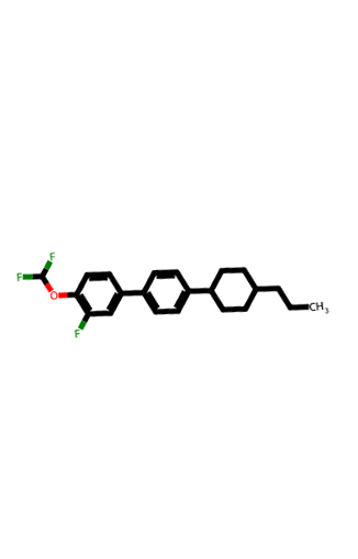 CCCC1CCC(c2ccc(-c3ccc(OC(F)F)c(F)c3)cc2)CC1